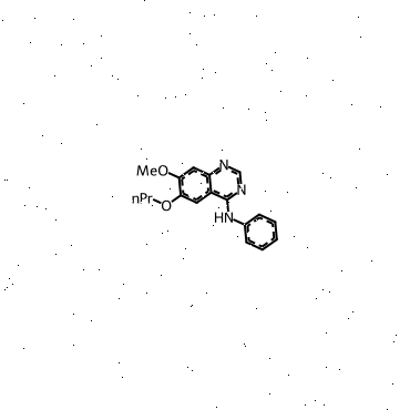 CCCOc1cc2c(Nc3ccccc3)ncnc2cc1OC